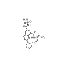 C=C/C(=C\C)NC(C)c1cc(C(=O)NS(N)(=O)=O)cc2ncc(N3CCOCC3)nc12